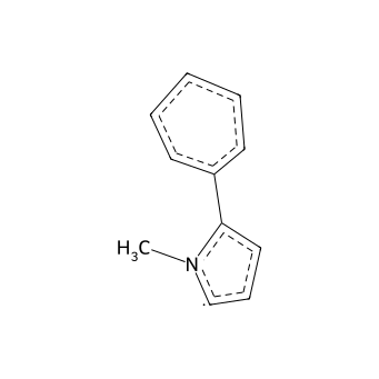 Cn1[c]ccc1-c1ccccc1